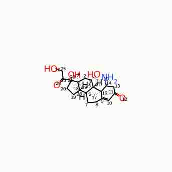 C[C@]12C[C@H](O)[C@H]3[C@@H](CCC4=CC(=O)CC(N)[C@@]43C)[C@@H]1CC[C@]2(O)C(=O)CO